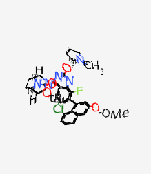 COCOc1cc(-c2c(Cl)cc3c(N4CC[C@H]5CC[C@@H](C4)N5C(=O)OC(C)(C)C)nc(OC[C@@H]4CCCN4C)nc3c2F)c2ccccc2c1